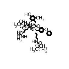 Cc1cc(O)cc(C)c1C[C@H](NC(=O)[C@@H](CCCNC(=N)N)NC(=O)OC(C)(C)C)C(=O)N[C@@H](CCCCNC(=O)OC(C)(C)C)c1ccc(Oc2ccccc2)cc1